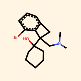 CN(C)CC1(C2(O)CCCCC2)Cc2cccc(Br)c21